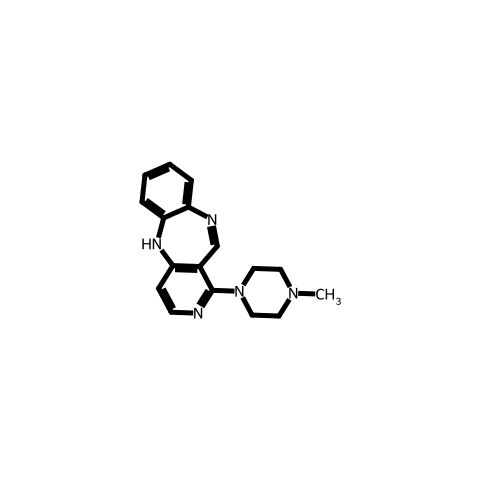 CN1CCN(c2nccc3c2C=Nc2ccccc2N3)CC1